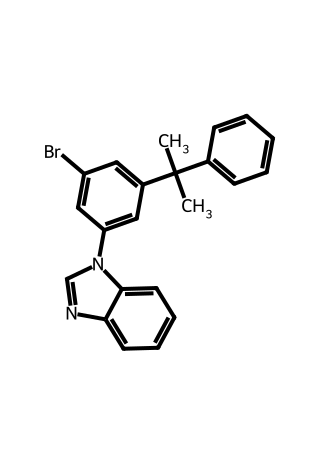 CC(C)(c1ccccc1)c1cc(Br)cc(-n2cnc3ccccc32)c1